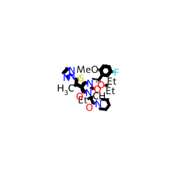 CCC(CC)O[C@@H](Cn1c(=O)n(C(C)(CC)C(=O)N2CCCCC2)c(=O)c2c(C)c(-n3nccn3)sc21)c1cc(F)ccc1OC